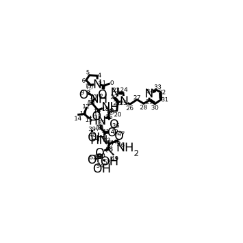 CC(=O)N1CCC[C@H]1C(=O)N[C@@H](CC(C)C)C(=O)N[C@@H](Cc1cncn1CCCc1ccccn1)C(=O)N[C@@H](CO)C(=O)N[C@H](C(N)=O)[C@@H](C)OP(=O)(O)O